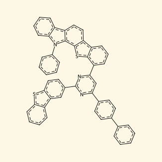 c1ccc(-c2ccc(-c3cc(-c4cccc5c4sc4c5ccc5c6ccccc6n(-c6ccccc6)c54)nc(-c4ccc5sc6ccccc6c5c4)n3)cc2)cc1